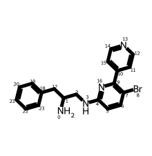 NC(CNc1ccc(Br)c(-c2ccncc2)n1)Cc1ccccc1